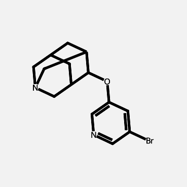 Brc1cncc(OC2C3CC4CC2CN(C4)C3)c1